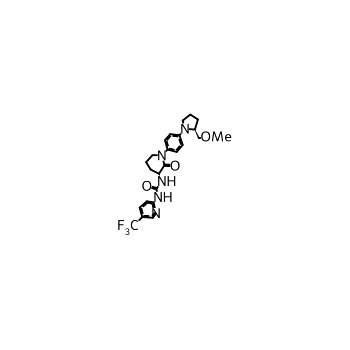 COC[C@@H]1CCCN1c1ccc(N2CCC[C@@H](NC(=O)Nc3ccc(C(F)(F)F)cn3)C2=O)cc1